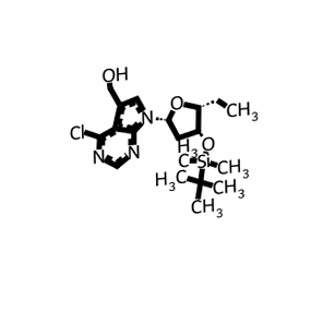 CC[C@H]1O[C@@H](n2cc(CO)c3c(Cl)ncnc32)C[C@H]1O[Si](C)(C)C(C)(C)C